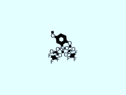 COc1ccc(OC)c([Si](C)(OS(=O)(=O)C(F)(F)F)OS(=O)(=O)C(F)(F)F)c1